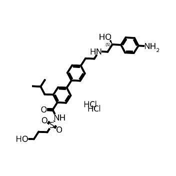 CC(C)Cc1cc(-c2ccc(CCNC[C@@H](O)c3ccc(N)cc3)cc2)ccc1C(=O)NS(=O)(=O)CCCO.Cl.Cl